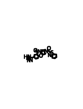 O=C1NC2(CCN(C(=O)c3nc4ccccc4s3)CC2)Oc2ccc(-c3nnn[nH]3)cc21